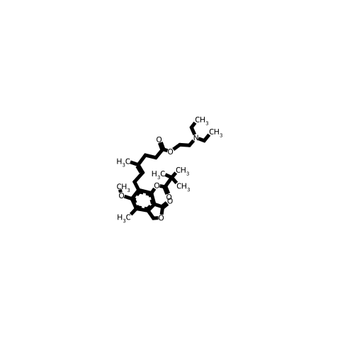 CCN(CC)CCOC(=O)CC/C(C)=C/Cc1c(OC)c(C)c2c(c1OC(=O)C(C)(C)C)C(=O)OC2